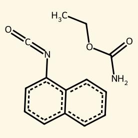 CCOC(N)=O.O=C=Nc1cccc2ccccc12